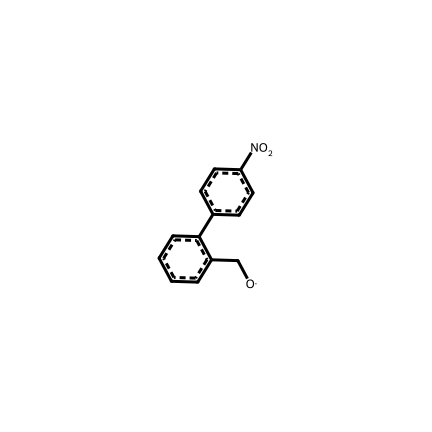 [O]Cc1ccccc1-c1ccc([N+](=O)[O-])cc1